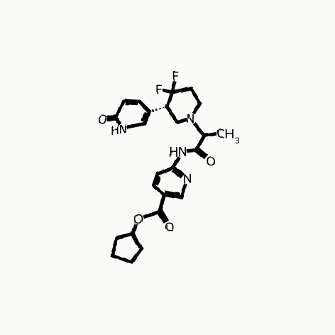 CC(C(=O)Nc1ccc(C(=O)OC2CCCC2)cn1)N1CCC(F)(F)[C@@H](c2ccc(=O)[nH]c2)C1